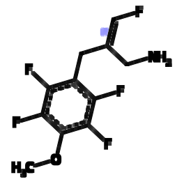 COc1c(F)c(F)c(C/C(=C/F)CN)c(F)c1F